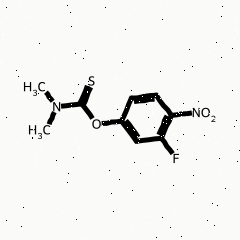 CN(C)C(=S)Oc1ccc([N+](=O)[O-])c(F)c1